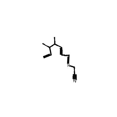 C=CC(C)C(C)C=C/C=N/CC#N